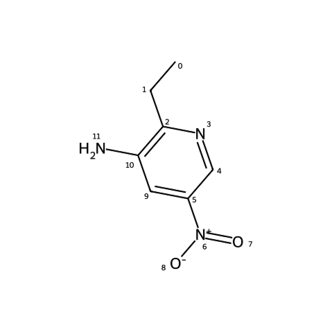 CCc1ncc([N+](=O)[O-])cc1N